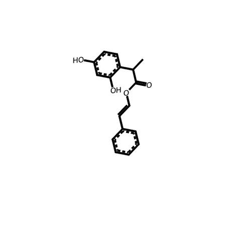 CC(C(=O)OC=Cc1ccccc1)c1ccc(O)cc1O